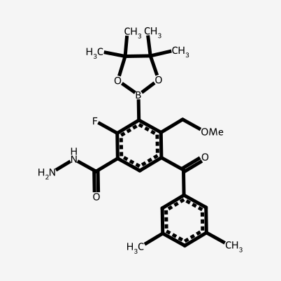 COCc1c(C(=O)c2cc(C)cc(C)c2)cc(C(=O)NN)c(F)c1B1OC(C)(C)C(C)(C)O1